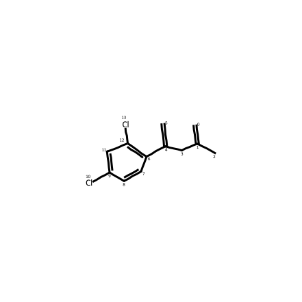 C=C(C)CC(=C)c1ccc(Cl)cc1Cl